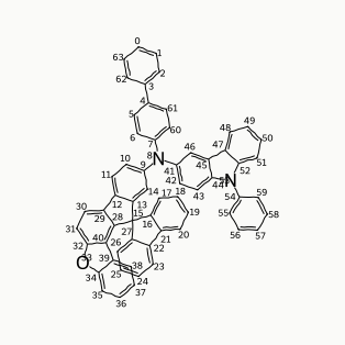 c1ccc(-c2ccc(N(c3ccc4c(c3)C3(c5ccccc5-c5ccccc53)c3c-4ccc4oc5ccccc5c34)c3ccc4c(c3)c3ccccc3n4-c3ccccc3)cc2)cc1